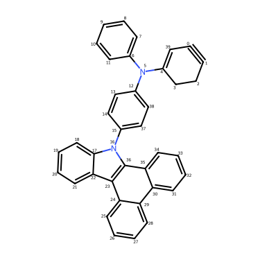 C1#CCCC(N(c2ccccc2)c2ccc(-n3c4ccccc4c4c5ccccc5c5ccccc5c43)cc2)=C1